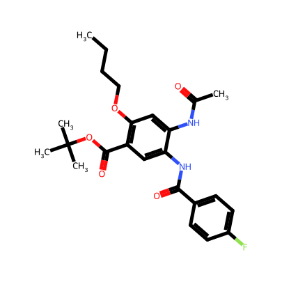 CCCCOc1cc(NC(C)=O)c(NC(=O)c2ccc(F)cc2)cc1C(=O)OC(C)(C)C